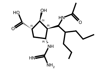 CCCC(CCC)C(NC(C)=O)[C@@H]1[C@H](O)[C@@H](C(=O)O)C[C@H]1NC(=N)N